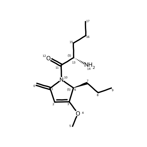 C=C1C=C(OC)[C@H](CCC)N1C(=O)[C@@H](N)CCC